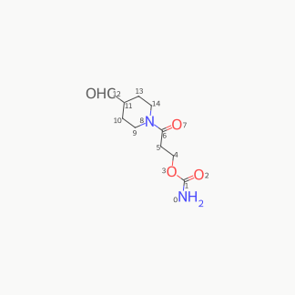 NC(=O)OCCC(=O)N1CCC(C=O)CC1